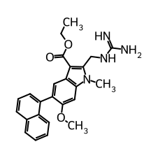 CCOC(=O)c1c(CNC(=N)N)n(C)c2cc(OC)c(-c3cccc4ccccc34)cc12